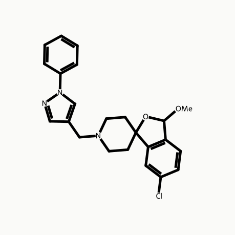 COC1OC2(CCN(Cc3cnn(-c4ccccc4)c3)CC2)c2cc(Cl)ccc21